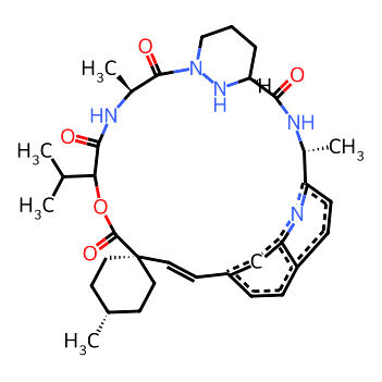 CC(C)C1OC(=O)[C@]2(/C=C/c3ccc4ccc(nc4c3)[C@@H](C)NC(=O)[C@@H]3CCCN(N3)C(=O)[C@H](C)NC1=O)CC[C@@H](C)CC2